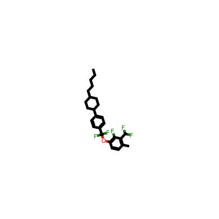 CCCCCC1CCC(c2ccc(C(F)(F)Oc3ccc(C)c(C(F)F)c3F)cc2)CC1